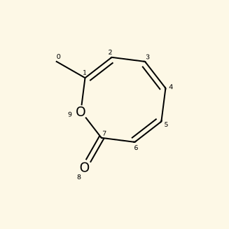 C/C1=C/C=C\C=C/C(=O)O1